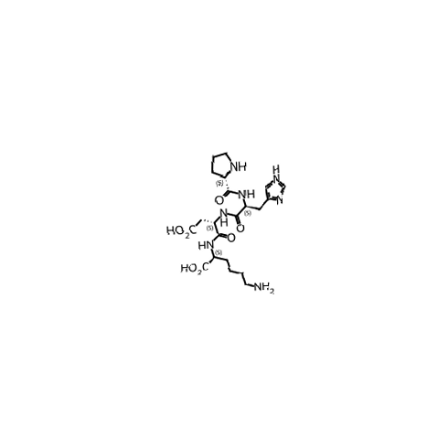 NCCCC[C@H](NC(=O)[C@H](CC(=O)O)NC(=O)[C@H](Cc1c[nH]cn1)NC(=O)[C@@H]1CCCN1)C(=O)O